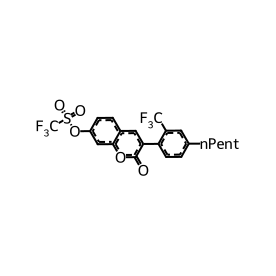 CCCCCc1ccc(-c2cc3ccc(OS(=O)(=O)C(F)(F)F)cc3oc2=O)c(C(F)(F)F)c1